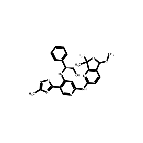 COC1OC(C)(C)c2nc(Nc3cc(N[C@H](CO)c4ccccc4)c(-c4nc(C)no4)cn3)ccc21